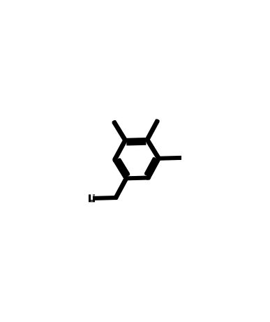 [Li][CH2]c1cc(C)c(C)c(C)c1